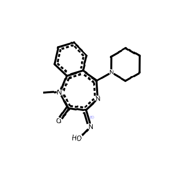 Cn1c(=O)/c(=N\O)nc(N2CCCCC2)c2ccccc21